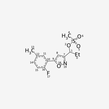 CCC(OS(C)(=O)=O)c1cc(-c2cc(C)ccc2F)on1